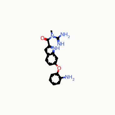 CN(C(=N)N)C(=O)c1cc2ccc(Oc3ccccc3N)cc2[nH]1